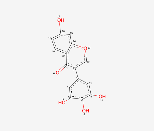 O=c1c(-c2cc(O)c(O)c(O)c2)coc2cc(O)ccc12